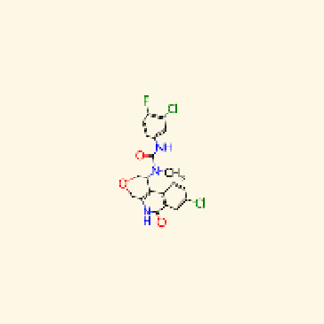 CN(C(=O)Nc1ccc(F)c(Cl)c1)C1COCc2[nH]c(=O)c3cc(Cl)ccc3c21